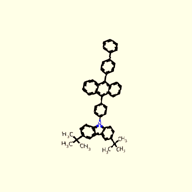 CC(C)(C)c1ccc2c(c1)c1cc(C(C)(C)C)ccc1n2-c1ccc(-c2c3ccccc3c(-c3ccc(-c4ccccc4)cc3)c3ccccc23)cc1